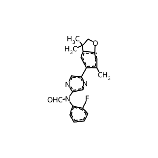 Cc1cc2c(cc1-c1cnc(N(C=O)c3ccccc3F)cn1)C(C)(C)CO2